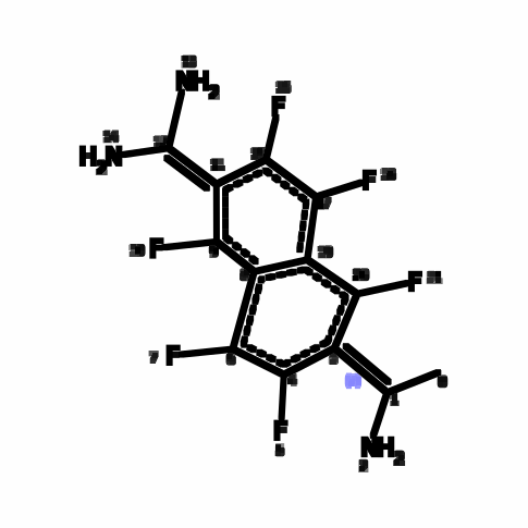 C/C(N)=c1/c(F)c(F)c2c(F)c(=C(N)N)c(F)c(F)c2c1F